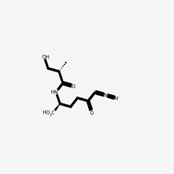 C[C@@H](CO)C(=O)N[C@@H](CCC(=O)C=[N+]=[N-])C(=O)O